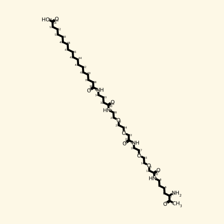 CC(=O)C(N)CCCCNC(=O)COCCOCCNC(=O)COCCOCCNC(=O)CCCNC(=O)CCCCCCCCCCCCCCCCC(=O)O